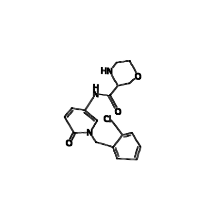 O=C(Nc1ccc(=O)n(Cc2ccccc2Cl)c1)C1COCCN1